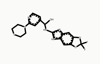 OC(Nc1nc2cc3c(cc2[nH]1)OC(F)(F)O3)c1ccnc(N2CCSCC2)c1